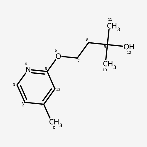 Cc1[c]cnc(OCCC(C)(C)O)c1